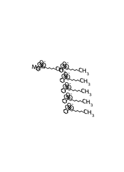 CCCCCCCCC(c1ccccc1)S(=O)(=O)[O-].CCCCCCCCC(c1ccccc1)S(=O)(=O)[O-].CCCCCCCCC(c1ccccc1)S(=O)(=O)[O-].CCCCCCCCC(c1ccccc1)S(=O)(=O)[O-].CCCCCCCCC(c1ccccc1)S(=O)(=O)[O-].CCCCCCCCC(c1ccccc1)S(=O)(=O)[O-].[Mo+6]